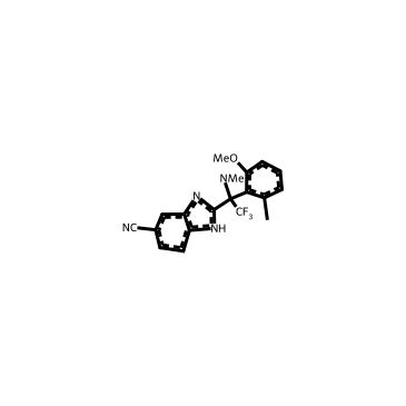 CNC(c1nc2cc(C#N)ccc2[nH]1)(c1c(C)cccc1OC)C(F)(F)F